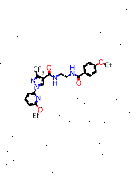 CCOc1ccc(C(=O)NCCNC(=O)c2cn(-c3cccc(OCC)n3)nc2C(F)(F)F)cc1